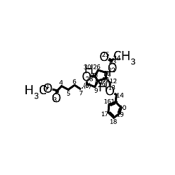 COC(=O)CCCC[C@H]1C[C@@H]2[C@H](COCc3ccccc3)[C@H](OC(C)=O)C[C@@H]2O1